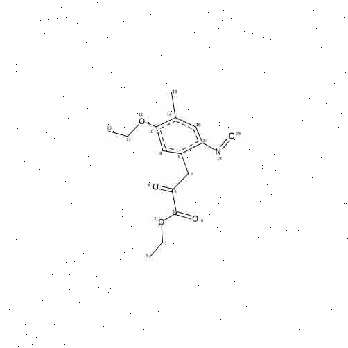 CCOC(=O)C(=O)Cc1cc(OCC)c(C)cc1N=O